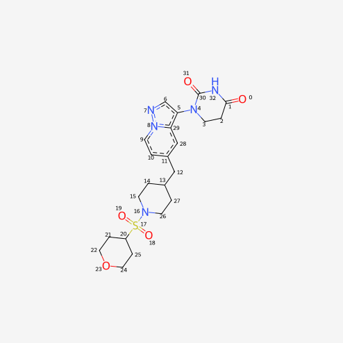 O=C1CCN(c2cnn3ccc(CC4CCN(S(=O)(=O)C5CCOCC5)CC4)cc23)C(=O)N1